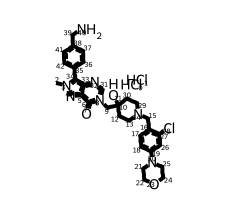 Cl.Cl.Cn1nc2c(=O)n(CC3(O)CCN(Cc4ccc(N5CCOCC5)cc4Cl)CC3)cnc2c1-c1ccc(CN)cc1